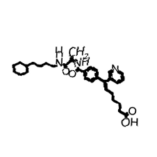 C=C(NC(=O)c1ccc(C(=CCCCCC(=O)O)c2cccnc2)cc1)C(=O)NCCCCC1CCCCC1